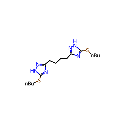 CCCCSc1nc(CCCCc2n[nH]c(SCCCC)n2)n[nH]1